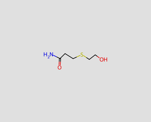 NC(=O)CCSCCO